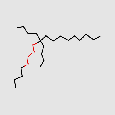 CCCCCCCCCC(CCCC)(CCCC)OOOOCCCC